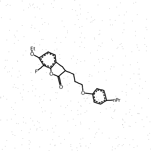 CCCc1ccc(OCCCC2Cc3ccc(OCC)c(F)c3OC2=O)cc1